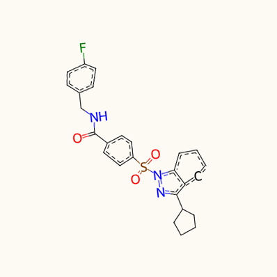 O=C(NCc1ccc(F)cc1)c1ccc(S(=O)(=O)n2nc(C3CCCC3)c3ccccc32)cc1